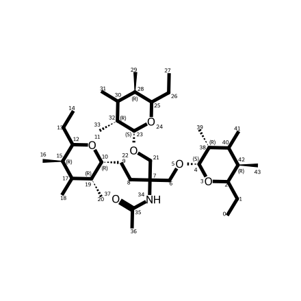 CCC1O[C@H](OCC(CC[C@H]2OC(CC)[C@H](C)C(C)[C@H]2C)(CO[C@H]2OC(CC)[C@H](C)C(C)[C@H]2C)NC(C)=O)[C@H](C)C(C)[C@H]1C